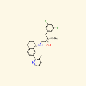 CC(=O)N[C@@H](Cc1cc(F)cc(F)c1)[C@H](O)CN[C@H]1CCCc2ccc(-c3ncccc3C)cc21